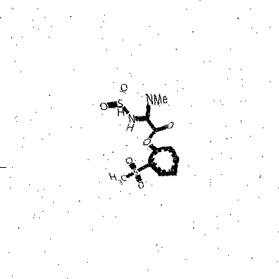 CNC(N[SH](=O)=O)C(=O)Oc1ccccc1S(C)(=O)=O